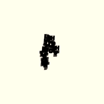 CCNc1ncc(-c2nc3ccc(N4CC5CN(C)CC(C4)O5)cn3n2)c2cc(NC(=O)C3CC3)ncc12